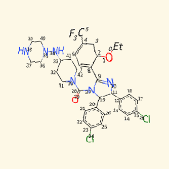 CCOC1CC(C(F)(F)F)=CC=C1C1=NC(c2ccc(Cl)cc2)C(c2ccc(Cl)cc2)N1C(=O)N1CCC(NN2CCNCC2)CC1